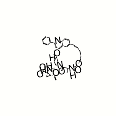 C=C[C@@H]1C[C@]1(NC(=O)[C@@H]1C[C@@H]2CN1C(=O)[C@H](C)NC(=O)OCCC/C=C\c1ccc3nc(-c4ccccc4)cc(c3c1)O2)C(=O)O